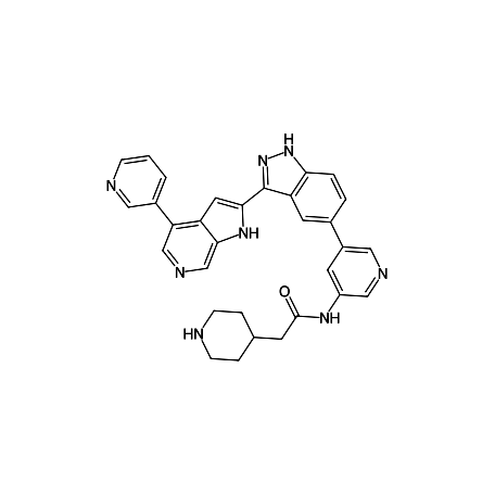 O=C(CC1CCNCC1)Nc1cncc(-c2ccc3[nH]nc(-c4cc5c(-c6cccnc6)cncc5[nH]4)c3c2)c1